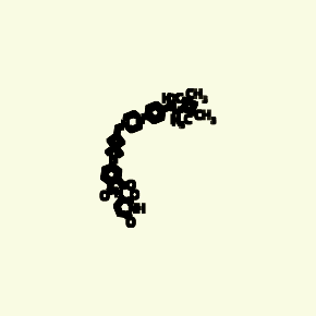 CC1(C)CC(C)(C)C1NC(=O)c1ccc(N2CCN(CC3CC4(C3)CN(c3ccc5c(c3)C(=O)N(C3CCC(=O)NC3=O)C5=O)C4)CC2)cc1